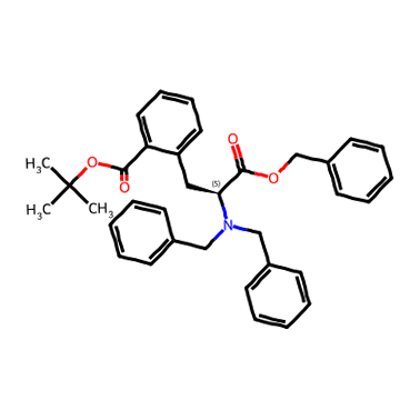 CC(C)(C)OC(=O)c1ccccc1C[C@@H](C(=O)OCc1ccccc1)N(Cc1ccccc1)Cc1ccccc1